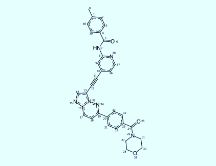 Cc1ccc(C(=O)Nc2cc(C#Cc3cnc4ccc(-c5ccc(C(=O)N6CCOCC6)cc5)nn34)ccn2)cc1